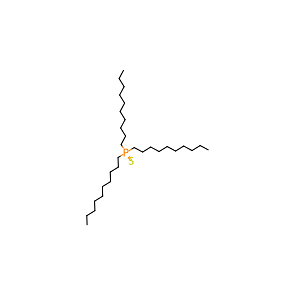 CCCCCCCCCCP(=S)(CCCCCCCCCC)CCCCCCCCCC